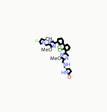 COc1nc(-c2cccc(-c3cccc(-c4cnc(CN5C[C@@H](F)C[C@H]5C)c(OC)n4)c3Cl)c2Cl)cnc1CNC[C@@H]1CCC(=O)N1